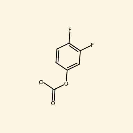 O=C(Cl)Oc1ccc(F)c(F)c1